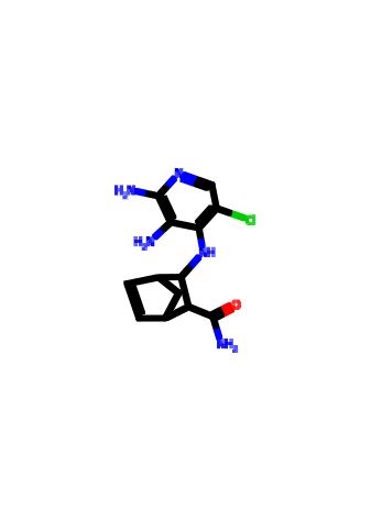 NC(=O)C1C2C=CC(C2)C1Nc1c(Cl)cnc(N)c1N